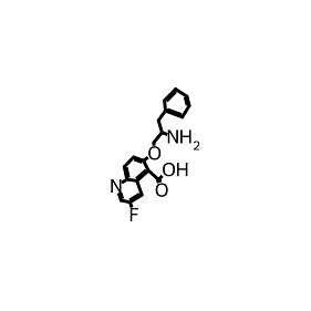 NC(COc1ccc2ncc(F)cc2c1C(=O)O)Cc1ccccc1